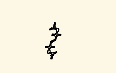 C[Si](C)O[Si](C)(C)CC[Si](C)(C)O[Si](C)C